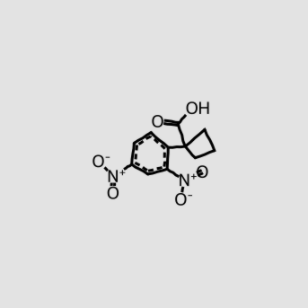 O=C(O)C1(c2ccc([N+](=O)[O-])cc2[N+](=O)[O-])CCC1